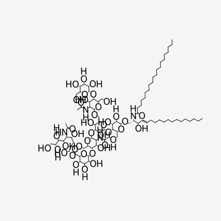 CCCCCCCCCCCCC/C=C/[C@@H](O)[C@H](CO[C@@H]1OC(CO)[C@@H](O[C@@H]2OC(CO[C@@H]3OC(CO)[C@@H](O[C@@H]4OC(CO)[C@H](O)[C@H](O)C4O)[C@H](O)C3NC(C)=O)[C@H](O)[C@H](O[C@@H]3OC(CO)[C@@H](O[C@@H]4OC(CO[C@]5(C(=O)O)CC(O)[C@@H](NC(C)=O)C([C@H](O)[C@H](O)CO)O5)[C@H](O)[C@H](O)C4O)[C@H](O)C3NC(C)=O)C2O)[C@H](O)C1O)NC(=O)CCCCCCCCCCCCCCCCCCC